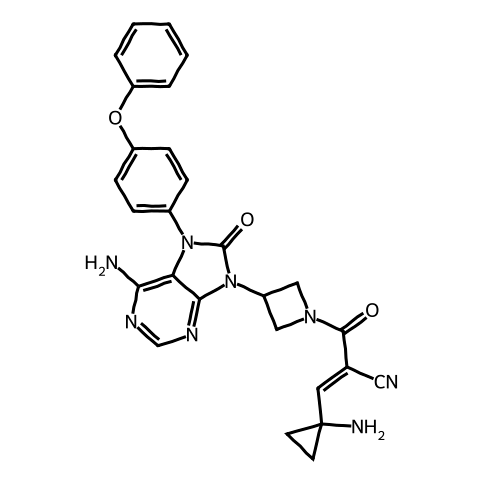 N#CC(=CC1(N)CC1)C(=O)N1CC(n2c(=O)n(-c3ccc(Oc4ccccc4)cc3)c3c(N)ncnc32)C1